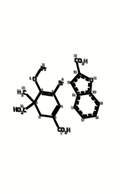 CC(C)OC1=C(Br)C=C(C(=O)O)CC1(C)C(=O)O.O=C(O)c1cc2ccccc2o1